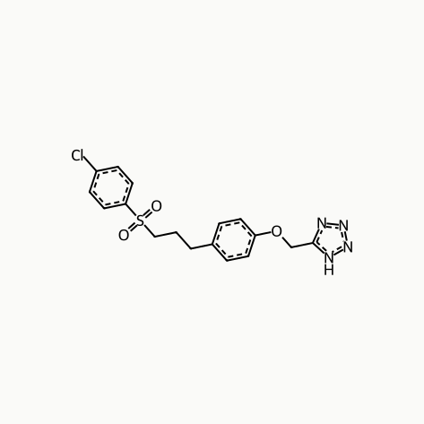 O=S(=O)(CCCc1ccc(OCc2nnn[nH]2)cc1)c1ccc(Cl)cc1